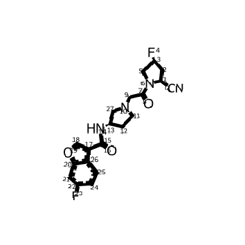 N#CC1C[C@H](F)CN1C(=O)CN1CC[C@H](NC(=O)c2coc3cc(F)ccc23)C1